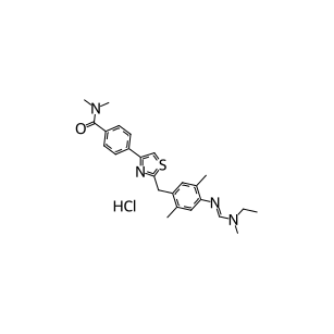 CCN(C)/C=N/c1cc(C)c(Cc2nc(-c3ccc(C(=O)N(C)C)cc3)cs2)cc1C.Cl